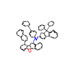 c1ccc(-c2ccc(N(c3ccc4c(c3)C(c3ccccc3)(c3ccccc3)c3ccccc3-4)c3cc4c(oc5cccc(-c6ccc7ccccc7c6)c54)c4ccccc34)cc2)cc1